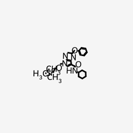 C[Si](C)(C)CCOCn1cc(C(=O)NC2CCCCC2)c2nc(Oc3ccccc3)cnc21